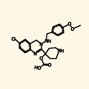 COOc1ccc(CNN2Cc3cc(Cl)ccc3N=C2C2(OC(=O)O)CCNCC2)cc1